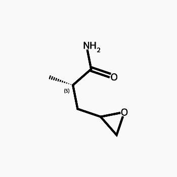 C[C@@H](CC1CO1)C(N)=O